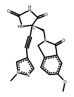 COc1ccc2c(c1)C(=O)N(C[C@@]1(C#Cc3cnn(C)c3)NC(=O)NC1=O)C2